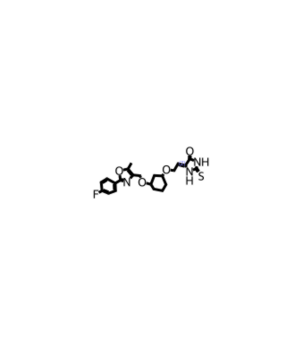 Cc1oc(-c2ccc(F)cc2)nc1COC1CCCC(OC/C=C2\NC(=S)NC2=O)C1